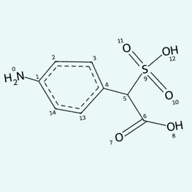 Nc1ccc(C(C(=O)O)S(=O)(=O)O)cc1